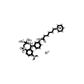 CCCCC1(CCCC)CS(=O)(=O)c2ccc(N(C)C)cc2C(c2cccc(NC(=S)CCCCC[N+]34CCC(CC3)CC4)c2)N1.[Br-]